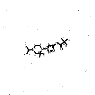 CC(C)N1CCN([n+]2cc([N-]C(=O)C(C)(C)C)on2)C(C)(C)C1